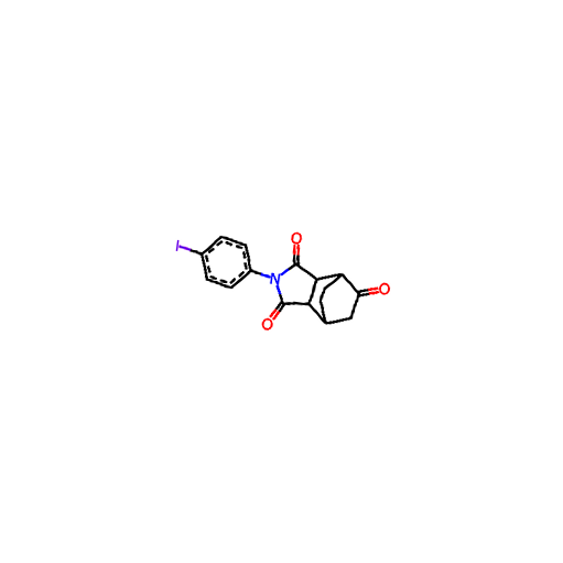 O=C1CC2CCC1C1C(=O)N(c3ccc(I)cc3)C(=O)C21